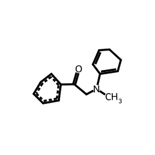 CN(CC(=O)c1ccccc1)C1=CCCC=C1